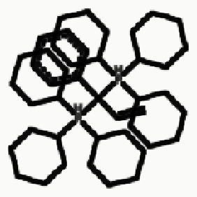 C=CC(c1ccccc1)([PH](C1CCCCC1)(C1CCCCC1)C1CCCCC1)[PH](C1CCCCC1)(C1CCCCC1)C1CCCCC1